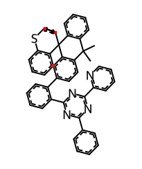 CC1(C)c2ccccc2C2(c3ccccc3Sc3ccccc32)c2cc(-c3ccccc3-c3nc(-c4ccccc4)nc(-c4ccccn4)n3)ccc21